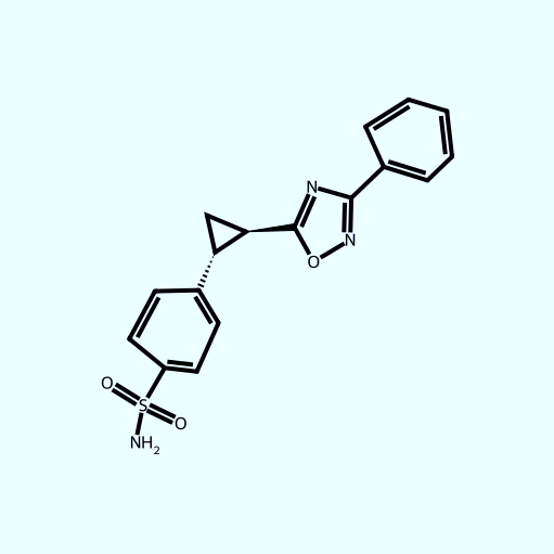 NS(=O)(=O)c1ccc([C@@H]2C[C@H]2c2nc(-c3ccccc3)no2)cc1